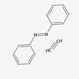 C#C.c1ccc(N=Nc2ccccc2)cc1